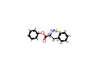 O=C(Oc1ccccc1)[C@H](Cc1ccccc1)N=S